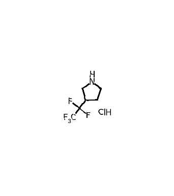 Cl.FC(F)(F)C(F)(F)C1CCNC1